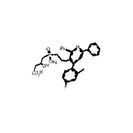 Cc1cc(F)ccc1-c1cc(-c2ccccc2)nc(C(C)C)c1CCP(=O)(O)CC(O)CC(=O)O